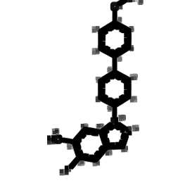 COc1ccc(-c2ccc(-n3ncc4cc(F)c(O)cc43)cc2)cc1